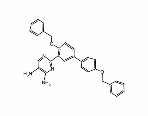 Nc1cnc(-c2cc(-c3ccc(OCc4ccccc4)cc3)ccc2OCc2ccccc2)nc1N